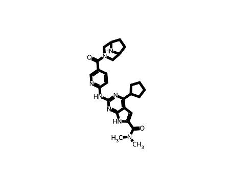 CN(C)C(=O)c1cc2c(C3CCCC3)nc(Nc3ccc(C(=O)N4CC5CCC(C4)N5)cn3)nc2[nH]1